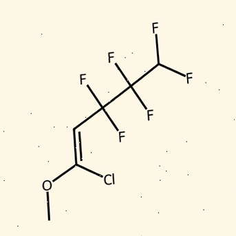 COC(Cl)=CC(F)(F)C(F)(F)C(F)F